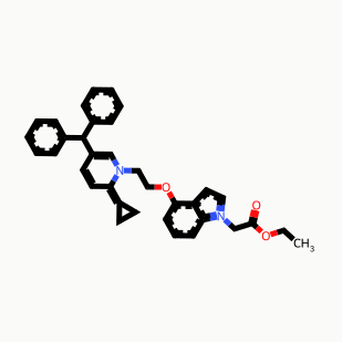 CCOC(=O)Cn1ccc2c(OCCN3C=C(C(c4ccccc4)c4ccccc4)C=CC3=C3CC3)cccc21